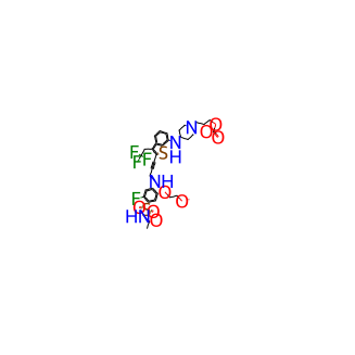 COCCOc1cc(S(=O)(=O)NC(C)=O)c(F)cc1NCC#Cc1sc2c(NC3CCN(CC4COC(=O)O4)CC3)cccc2c1CC(F)(F)F